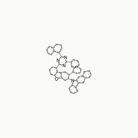 c1ccc(-c2nc(-c3cccc4ccccc34)nc(-c3cccc4oc5cc(-n6c7ccccc7c7cc8ccccc8cc76)c(-c6ccccc6)cc5c34)n2)cc1